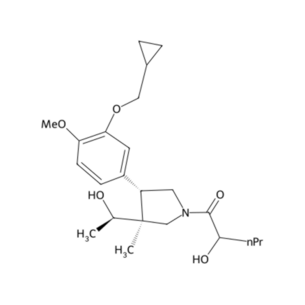 CCCC(O)C(=O)N1C[C@@H](c2ccc(OC)c(OCC3CC3)c2)[C@](C)([C@@H](C)O)C1